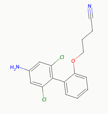 N#CCCCOc1ccccc1-c1c(Cl)cc(N)cc1Cl